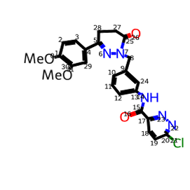 COc1ccc(C2=NN(Cc3cccc(NC(=O)c4ccc(Cl)nn4)c3)C(=O)CC2)cc1OC